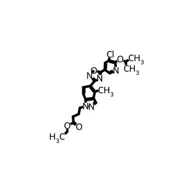 CCOC(=O)CCCn1ncc2c(C)c(-c3noc(-c4cnc(OC(C)C)c(Cl)c4)n3)ccc21